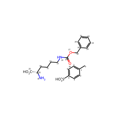 Cc1ccc(S(=O)(=O)O)cc1.N[C@@H](CCCCNC(=O)OCc1ccccc1)C(=O)O